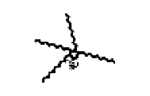 CCCCCCCCCCc1cc(S(=O)(=O)O)c(CCCCCCCCCC)c(CCCCCCCCCC)c1CCCCCCCCCC